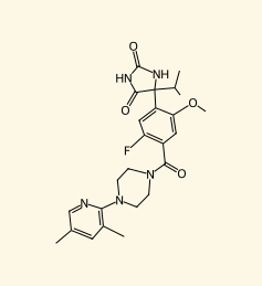 COc1cc(C(=O)N2CCN(c3ncc(C)cc3C)CC2)c(F)cc1C1(C(C)C)NC(=O)NC1=O